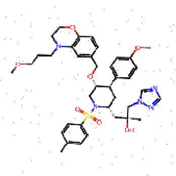 COCCCN1CCOc2ccc(CO[C@H]3CN(S(=O)(=O)c4ccc(C)cc4)[C@@H](C[C@@](C)(O)Cn4cncn4)C[C@@H]3c3ccc(OC)cc3)cc21